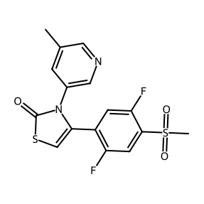 Cc1cncc(-n2c(-c3cc(F)c(S(C)(=O)=O)cc3F)csc2=O)c1